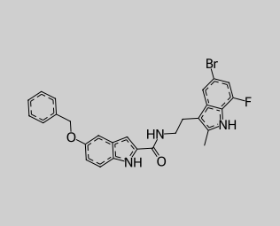 Cc1[nH]c2c(F)cc(Br)cc2c1CCNC(=O)c1cc2cc(OCc3ccccc3)ccc2[nH]1